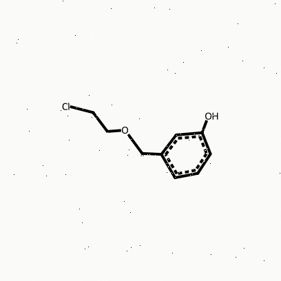 Oc1cccc([C]OCCCl)c1